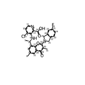 Cc1cc([C@@H](C)Nc2c(Cl)ccnc2C(=O)O)c2oc(N3Cc4ccc(F)cc4C3)c(C)c(=O)c2c1